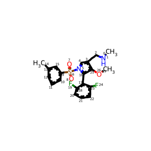 CNCc1cn(S(=O)(=O)c2cccc(C)c2)c(-c2c(F)cccc2F)c1OC